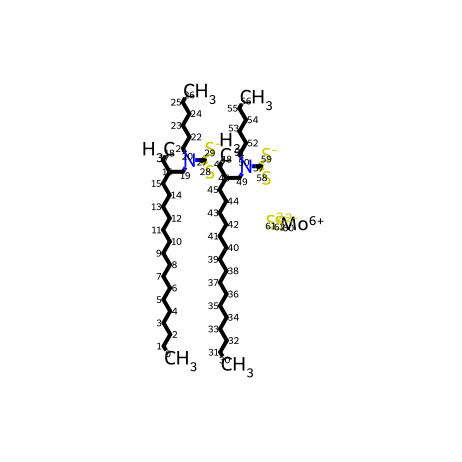 CCCCCCCCCCCCCCCCC(CC)CN(CCCCCC)C(=S)[S-].CCCCCCCCCCCCCCCCC(CC)CN(CCCCCC)C(=S)[S-].[Mo+6].[S-2].[S-2]